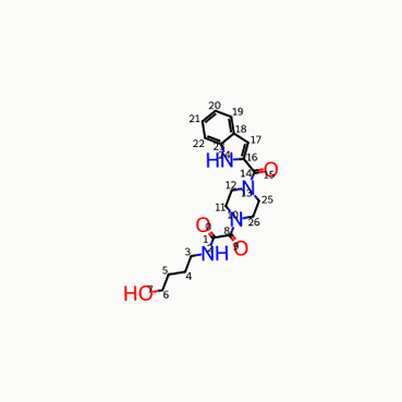 O=C(NCCCCO)C(=O)N1CCN(C(=O)c2cc3ccccc3[nH]2)CC1